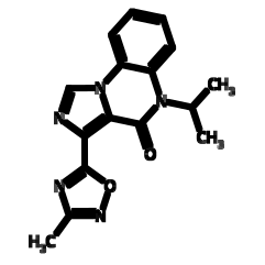 Cc1noc(-c2ncn3c2c(=O)n(C(C)C)c2ccccc23)n1